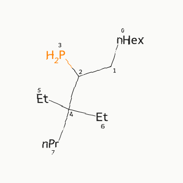 CCCCCCCC(P)C(CC)(CC)CCC